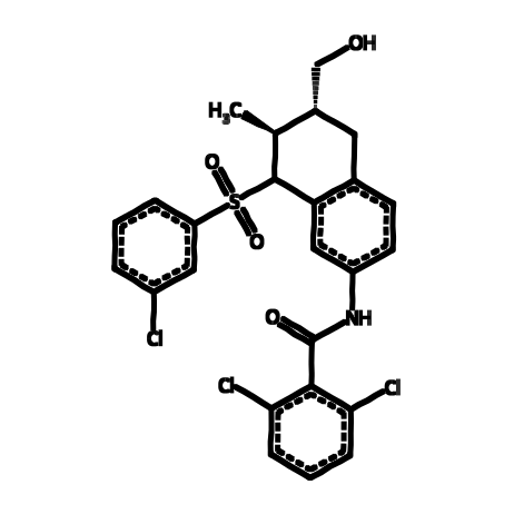 C[C@@H]1C(S(=O)(=O)c2cccc(Cl)c2)c2cc(NC(=O)c3c(Cl)cccc3Cl)ccc2C[C@H]1CO